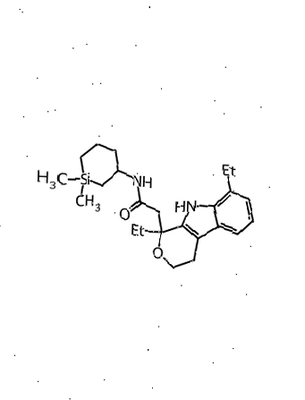 CCc1cccc2c3c([nH]c12)C(CC)(CC(=O)NC1CCC[Si](C)(C)C1)OCC3